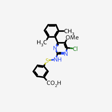 COc1c(Cl)nc(NSc2cccc(C(=O)O)c2)nc1-c1c(C)cccc1C